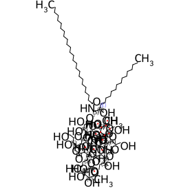 CCCCCCCCCCCCC/C=C/[C@@H](O)[C@H](CO[C@@H]1OC(CO)[C@@H](O[C@@H]2OC(CO)[C@H](O)[C@H](O[C@@H]3OC(CO)[C@@H](O[C@H]4OC(C)[C@@H](O)C(O)[C@@H]4O)[C@H](O[C@@H]4OC(CO)[C@H](O)[C@H](O[C@@H]5OC(CO)[C@@H](O[C@H]6OC(C)[C@@H](O)C(O)[C@@H]6O)[C@H](O[C@@H]6OC(CO)[C@H](O)[C@H](O)C6O)C5NC(C)=O)C4O)C3NC(C)=O)C2O)[C@H](O)C1O)NC(=O)CCCCCCCCCCCCCCCCCCCCCCCCC